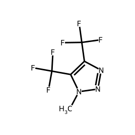 Cn1nnc(C(F)(F)F)c1C(F)(F)F